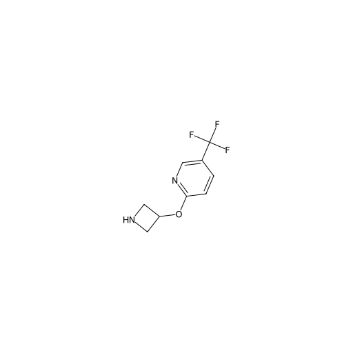 FC(F)(F)c1ccc(OC2CNC2)nc1